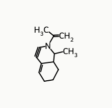 C=C(C)N1C#CC2=CCCCC2C1C